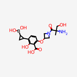 CC(N)(CO)C(=O)N1CC(Oc2ccc(C3CC3B(O)O)c(O)c2C(=O)O)C1